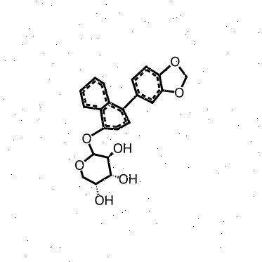 O[C@@H]1[C@H](O)COC(Oc2ccc(-c3ccc4c(c3)OCO4)c3ccccc23)[C@H]1O